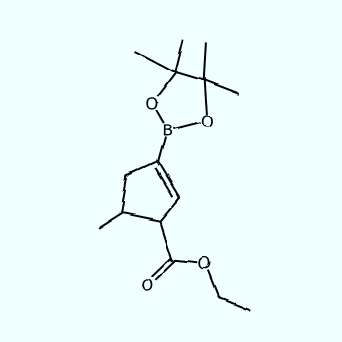 CCOC(=O)C1C=C(B2OC(C)(C)C(C)(C)O2)CC1C